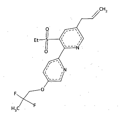 C=CCc1cnc(-c2ccc(OCC(C)(F)F)cn2)c(S(=O)(=O)CC)c1